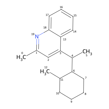 Cc1cc(C(C)C2CCCCC2C)c2ccccc2n1